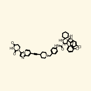 O=C1CCN(c2cnc3cc(C#CC4CCN(Cc5ccc(NC(=O)[C@@H]6NC7(CCCCC7)[C@@]7(C(=O)Nc8cc(Cl)ccc87)[C@H]6c6cccc(Cl)c6F)cc5)CC4)ccn23)C(=O)N1